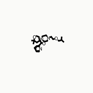 CC(C)COCCN1CCN([C@@]2(C(=O)c3ccccn3)CCOC(C)(C)C2)CC1